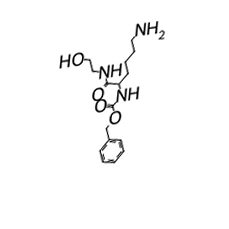 NCCCCC(NC(=O)OCc1ccccc1)C(=O)NCCO